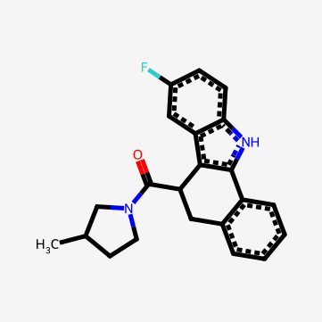 CC1CCN(C(=O)C2Cc3ccccc3-c3[nH]c4ccc(F)cc4c32)C1